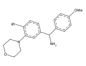 COc1ccc(C(N)c2ccc(C(C)C)c(N3CCOCC3)c2)cc1